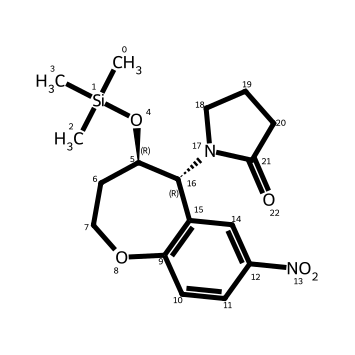 C[Si](C)(C)O[C@@H]1CCOc2ccc([N+](=O)[O-])cc2[C@H]1N1CCCC1=O